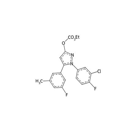 CCOC(=O)Oc1cc(-c2cc(C)cc(F)c2)n(-c2ccc(F)c(Cl)c2)n1